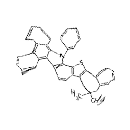 CC1(C)c2ccccc2-c2sc3c(ccc4c5c6ccccc6c6ccccc6c5n(-c5ccccc5)c43)c21